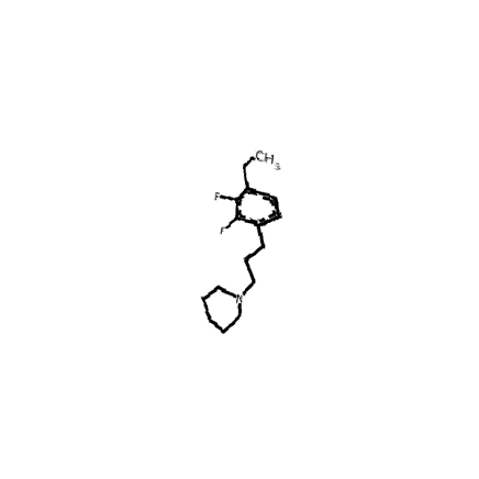 CCc1ccc(CCCN2CCCCC2)c(F)c1F